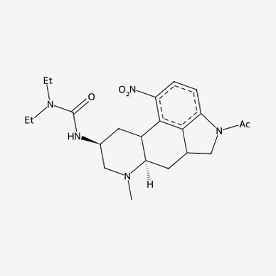 CCN(CC)C(=O)N[C@H]1CC2c3c([N+](=O)[O-])ccc4c3C(C[C@H]2N(C)C1)CN4C(C)=O